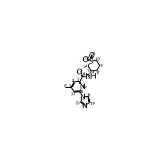 Cc1cc(C(=O)N[C@H]2CCCS(=O)(=O)C2)nc(-n2ccnc2)c1